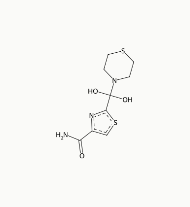 NC(=O)c1csc(C(O)(O)N2CCSCC2)n1